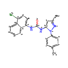 Cc1ccc(-n2nc(C(C)(C)C)cc2NC(=O)Nc2ccc(Br)c3ccccc23)cc1